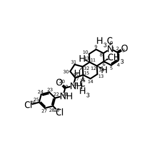 CN1C(=O)C=C[C@@]2(C)C1CC[C@@H]1[C@H]2CC[C@]2(C)C(NC(=O)Nc3ccc(Cl)cc3Cl)CC[C@@H]12